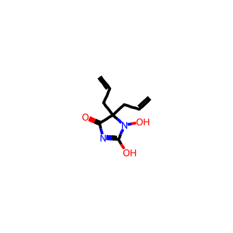 C=CCC1(CC=C)C(=O)N=C(O)N1O